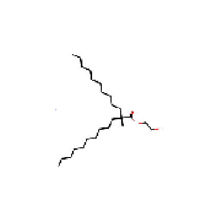 CCCCCCCCCCC(C)(CCCCCCCCCC)C(=O)OCCO.N